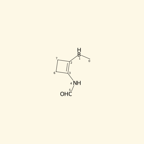 CBC1=C(NC=O)CC1